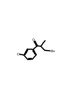 CC(CC(C)(C)C)C(=O)c1cccc(Cl)c1